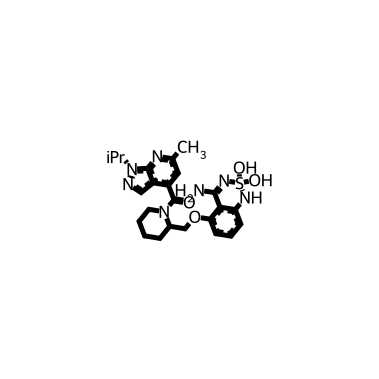 Cc1cc(C(=O)N2CCCCC2COc2cccc3c2C(N)=NS(O)(O)N3)c2cnn(C(C)C)c2n1